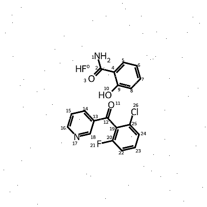 F.NC(=O)c1ccccc1O.O=C(c1cccnc1)c1c(F)cccc1Cl